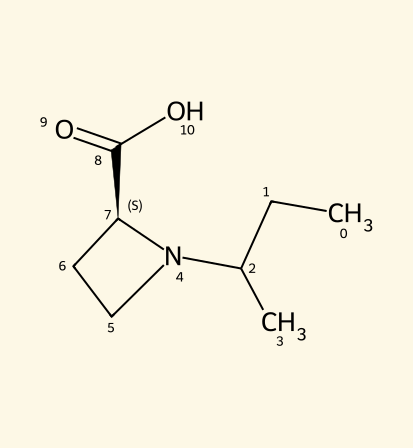 CCC(C)N1CC[C@H]1C(=O)O